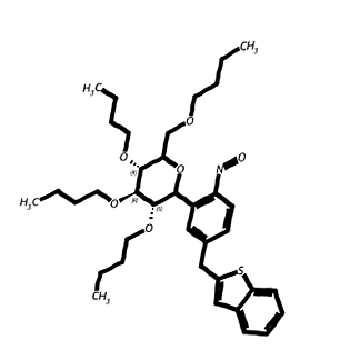 CCCCOCC1OC(c2cc(Cc3cc4ccccc4s3)ccc2N=O)[C@H](OCCCC)[C@@H](OCCCC)[C@@H]1OCCCC